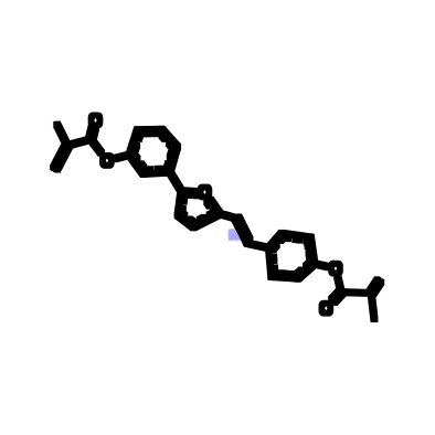 C=C(C)C(=O)Oc1ccc(/C=C/c2ccc(-c3cccc(OC(=O)C(=C)C)c3)o2)cc1